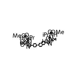 COC(=O)NC(C(=O)N1CC2(CC2)C[C@H]1c1ncc(-c2ccc3cc(-c4ccc(-c5cnc([C@@H]6CC7(CN6C(=O)C(NC(=O)OC)C(C)C)OCCO7)[nH]5)cc4)ccc3c2)[nH]1)C(C)C